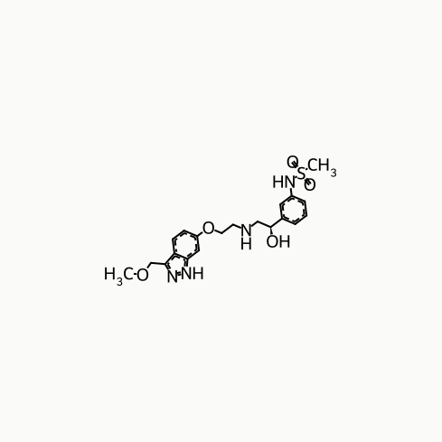 COCc1n[nH]c2cc(OCCNC[C@H](O)c3cccc(NS(C)(=O)=O)c3)ccc12